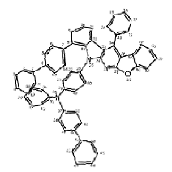 c1ccc(-c2ccc(-c3cccc4c5c(-c6ccccc6)c6c(cc5n(-c5ccc(N(c7ccccc7)c7ccc(-c8ccccc8)cc7)cc5)c34)oc3ccccc36)cc2)cc1